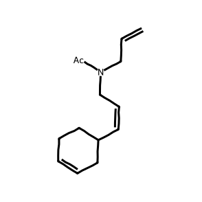 C=CCN(C/C=C\C1CC=CCC1)C(C)=O